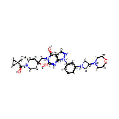 CC1(C(=O)N2CCC(O)(Cn3cnc4c(cnn4-c4cccc(N5CC(N6CCOCC6)C5)c4)c3=O)CC2)CC1